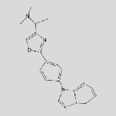 CC(c1coc(-c2ccc(-n3cnc4ccccc43)cc2)n1)N(C)C